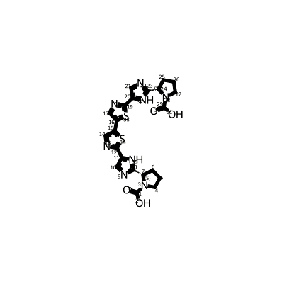 O=C(O)N1CCC[C@H]1c1ncc(-c2ncc(-c3cnc(-c4cnc([C@@H]5CCCN5C(=O)O)[nH]4)s3)s2)[nH]1